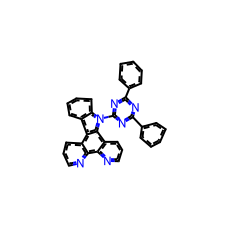 c1ccc(-c2nc(-c3ccccc3)nc(-n3c4ccccc4c4c5cccnc5c5ncccc5c43)n2)cc1